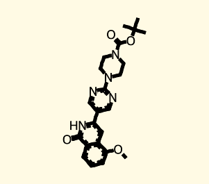 COc1cccc2c(=O)[nH]c(-c3cnc(N4CCN(C(=O)OC(C)(C)C)CC4)nc3)cc12